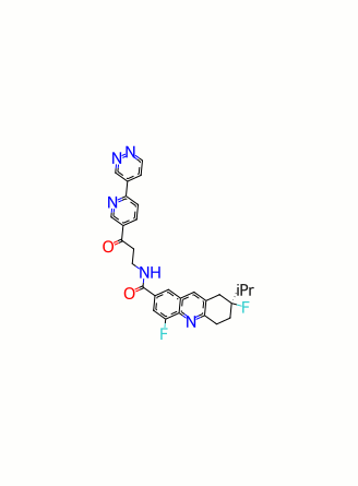 CC(C)[C@]1(F)CCc2nc3c(F)cc(C(=O)NCCC(=O)c4ccc(-c5ccnnc5)nc4)cc3cc2C1